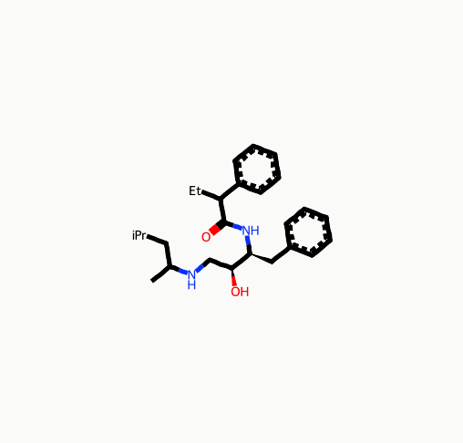 CCC(C(=O)N[C@@H](Cc1ccccc1)[C@@H](O)CNC(C)CC(C)C)c1ccccc1